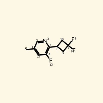 Cc1cnc(C2CC(F)(F)C2)c(F)c1